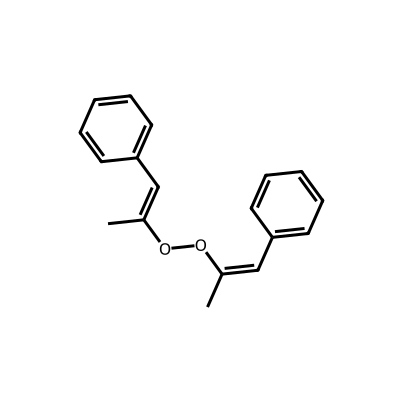 CC(=Cc1ccccc1)OOC(C)=Cc1ccccc1